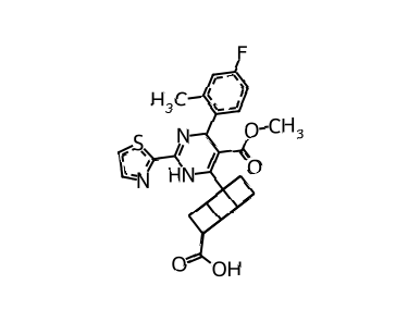 COC(=O)C1=C(C23C4C5C2C2C3C4C52C(=O)O)NC(c2nccs2)=NC1c1ccc(F)cc1C